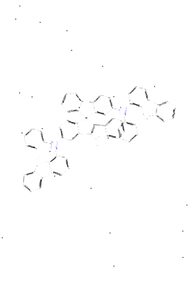 c1ccc(N(c2ccc3c(c2)-c2sc4ccccc4c2C32c3ccccc3-c3ccc(N(c4ccccc4)c4cccc5c4sc4ccccc45)cc32)c2cccc3c2sc2ccccc23)cc1